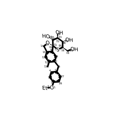 CCOc1ccc(Cc2cc3c(cc2C)CO[C@]32S[C@H](CO)[C@@H](O)[C@H](O)[C@H]2O)cc1